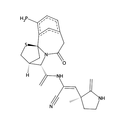 C=C(N/C(C#N)=C/[C@]1(C)CCNC1=C)[C@@H]1[C@H]2CS[C@@]3(C2)c2cc(ccc2P)CC(=O)N13